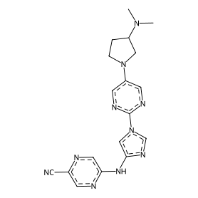 CN(C)C1CCN(c2cnc(-n3cnc(Nc4cnc(C#N)cn4)c3)nc2)C1